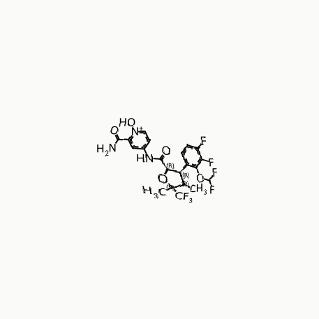 C[C@@H]1[C@H](c2ccc(F)c(F)c2OC(F)F)[C@H](C(=O)Nc2cc[n+](O)c(C(N)=O)c2)O[C@]1(C)C(F)(F)F